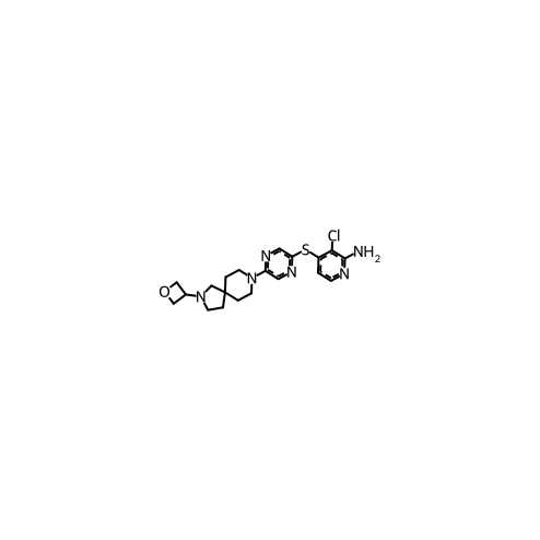 Nc1nccc(Sc2cnc(N3CCC4(CC3)CCN(C3COC3)C4)cn2)c1Cl